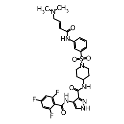 CN(C)CC=CC(=O)Nc1cccc(S(=O)(=O)N2CCC(NC(=O)c3n[nH]cc3NC(=O)c3c(F)cc(F)cc3F)CC2)c1